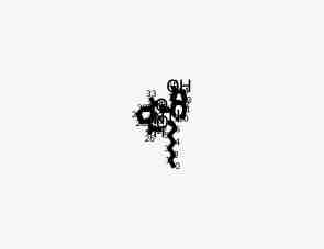 CCCCCCCC(=O)N1CCc2ccc(O)cc2C1C(=O)Nc1c(C(C)C)cccc1C(C)C